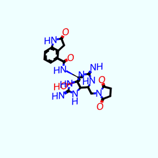 N=C1NC2C(CN3C(=O)CCC3=O)NC(=N)N3C[C@H](NC(=O)c4cccc5c4CC(=O)N5)C(O)C23N1